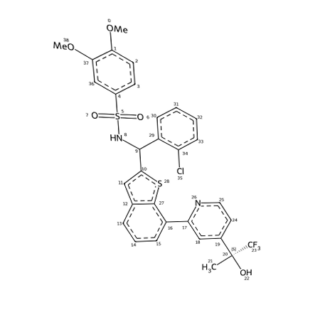 COc1ccc(S(=O)(=O)NC(c2cc3cccc(-c4cc([C@](C)(O)C(F)(F)F)ccn4)c3s2)c2ccccc2Cl)cc1OC